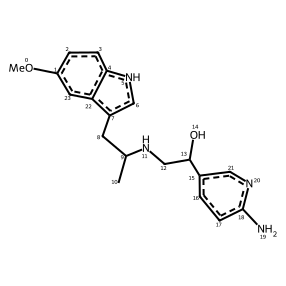 COc1ccc2[nH]cc(CC(C)NCC(O)c3ccc(N)nc3)c2c1